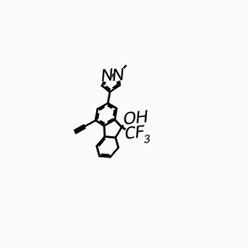 C#Cc1cc(-c2cnn(C)c2)cc2c1C1=CC=CCC1C2(O)C(F)(F)F